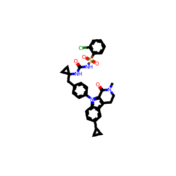 CN1CCc2c(n(-c3ccc(CC4(NC(=O)NS(=O)(=O)c5ccccc5Cl)CC4)cc3)c3ccc(C4CC4)cc23)C1=O